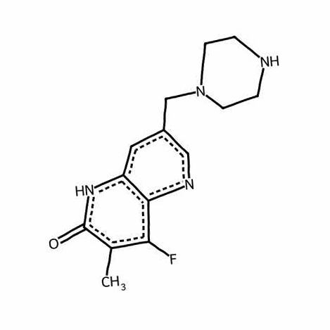 Cc1c(F)c2ncc(CN3CCNCC3)cc2[nH]c1=O